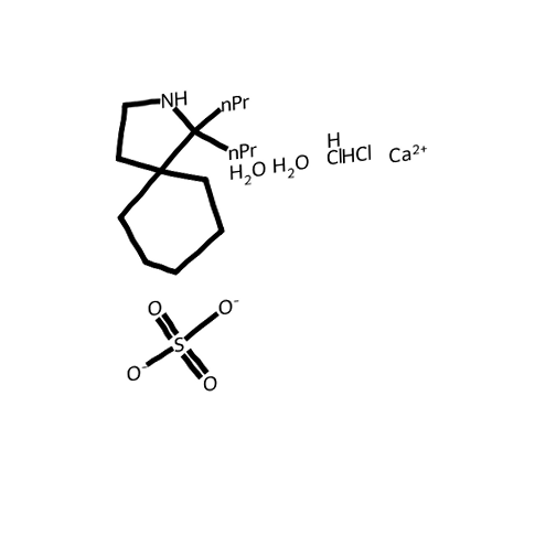 CCCC1(CCC)NCCC12CCCCC2.Cl.Cl.O.O.O=S(=O)([O-])[O-].[Ca+2]